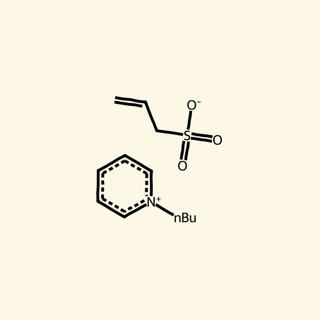 C=CCS(=O)(=O)[O-].CCCC[n+]1ccccc1